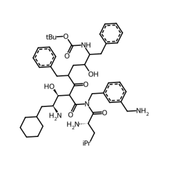 CC(C)C[C@H](N)C(=O)N(Cc1cccc(CN)c1)C(=O)C(C(=O)C(Cc1ccccc1)CC(O)C(Cc1ccccc1)NC(=O)OC(C)(C)C)[C@H](O)[C@@H](N)CC1CCCCC1